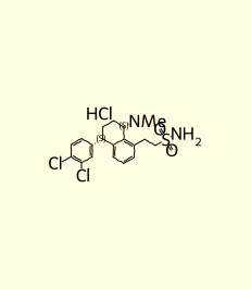 CN[C@H]1CC[C@@H](c2ccc(Cl)c(Cl)c2)c2cccc(CCS(N)(=O)=O)c21.Cl